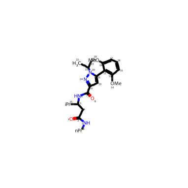 CCCNC(=O)CC(NC(=O)c1cc(-c2c(OC)cccc2OC)n(C(C)C(C)C)n1)C(C)C